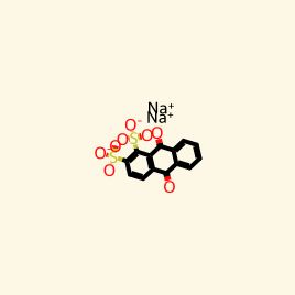 O=C1c2ccccc2C(=O)c2c1ccc(S(=O)(=O)[O-])c2S(=O)(=O)[O-].[Na+].[Na+]